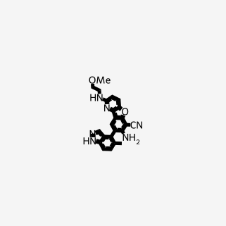 COCCNc1ccc2oc3c(C#N)c(N)c(-c4c(C)ccc5[nH]ncc45)cc3c2n1